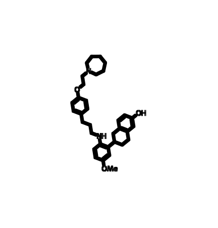 COc1ccc(NCCCc2ccc(OCCN3CCCCCC3)cc2)c(C2CCc3cc(O)ccc3C2)c1